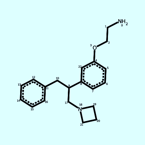 NCCOc1cccc(C(Cc2ccccc2)CN2CCC2)c1